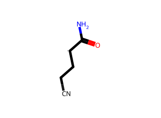 N#CCC[CH]C(N)=O